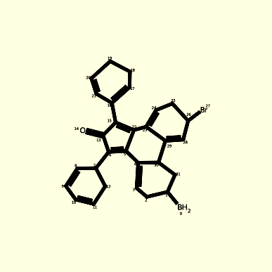 BC1CC=C2C3=C(C4C=CC=CC4)C(=O)C(C4=CCCC=C4)=C3C3=CCC(Br)C=C3C2C1